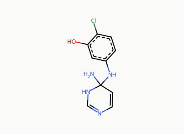 NC1(Nc2ccc(Cl)c(O)c2)C=CN=CN1